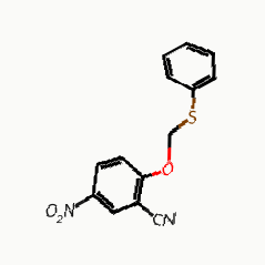 N#Cc1cc([N+](=O)[O-])ccc1OCSc1ccccc1